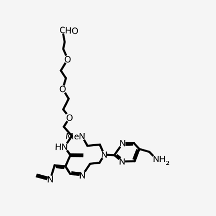 C=N/C=C(\C=N/CCN(CCNC)c1ncc(CN)cn1)C(=C)NCCOCCOCCOCCC=O